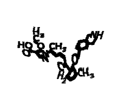 C=C(/C=C\C=C(/C)n1ncc(C(=O)O)c1OCC)c1cccc(C)c1OCc1ccc2c(c1)CCNC2